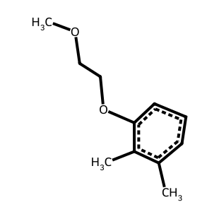 COCCOc1cccc(C)c1C